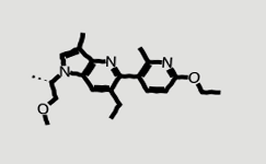 CCOc1ccc(-c2nc3c(C)cn([C@@H](C)COC)c3cc2CC)c(C)n1